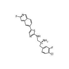 N[C@H](CNc1ncc(-c2ccc3cnc(F)cc3c2)s1)Cc1ccc(Cl)c(F)c1